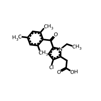 CCn1c(C(=O)c2c(C)cc(C)cc2C)cc(Cl)c1CC(=O)O